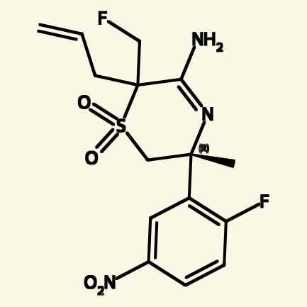 C=CCC1(CF)C(N)=N[C@](C)(c2cc([N+](=O)[O-])ccc2F)CS1(=O)=O